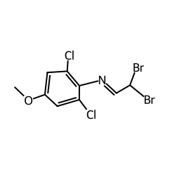 COc1cc(Cl)c(N=CC(Br)Br)c(Cl)c1